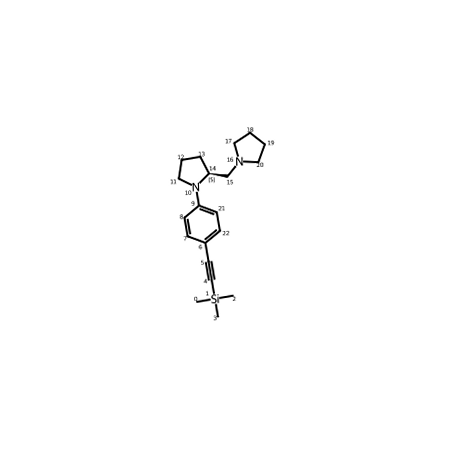 C[Si](C)(C)C#Cc1ccc(N2CCC[C@H]2CN2CCCC2)cc1